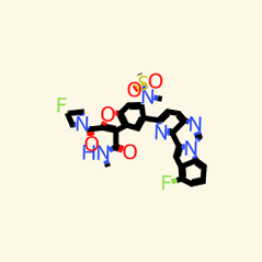 CNC(=O)c1c(C(=O)N2CC(F)C2)oc2cc(N(C)S(C)(=O)=O)c(-c3ccc4ncn5c6cccc(F)c6cc5c4n3)cc12